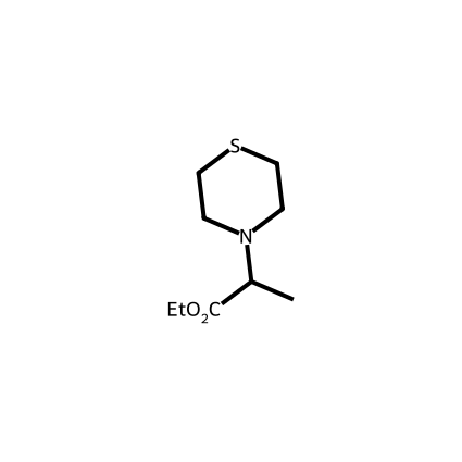 CCOC(=O)C(C)N1CCSCC1